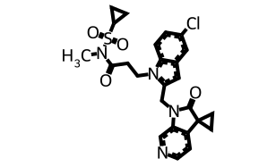 CN(C(=O)CCn1c(CN2C(=O)C3(CC3)c3ccncc32)cc2cc(Cl)ccc21)S(=O)(=O)C1CC1